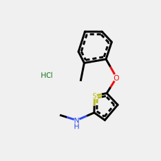 CNc1ccc(Oc2ccccc2C)s1.Cl